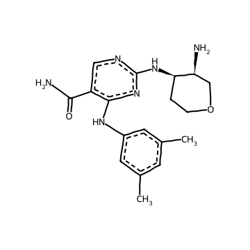 Cc1cc(C)cc(Nc2nc(N[C@@H]3CCOC[C@@H]3N)ncc2C(N)=O)c1